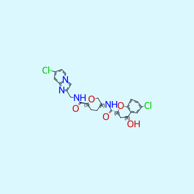 O=C(NCc1cn2ccc(Cl)cc2n1)[C@@H]1CC[C@@H](NC(=O)[C@H]2C[C@@H](O)c3cc(Cl)ccc3O2)CO1